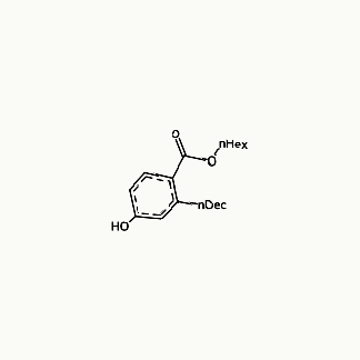 CCCCCCCCCCc1cc(O)ccc1C(=O)OCCCCCC